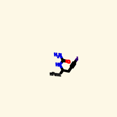 CCCCCC(CC#CI)NC(N)=O